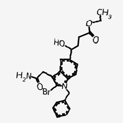 CCOC(=O)CCC(O)c1ccc2c(c1)c(CC(N)=O)c(Br)n2Cc1ccccc1